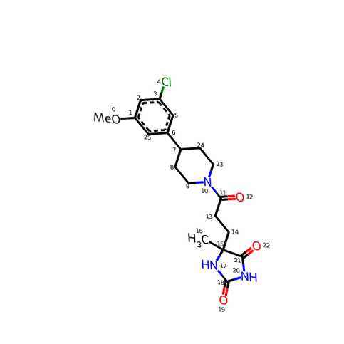 COc1cc(Cl)cc(C2CCN(C(=O)CCC3(C)NC(=O)NC3=O)CC2)c1